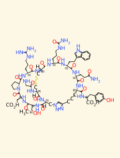 C[C@@H](O)[C@@H]1NC(=O)[C@@H]2Cn3cc(nn3)CCC[C@H](C(=O)N[C@@H](Cc3ccc(O)cc3)C(=O)O)NC(=O)[C@H](CCC(N)=O)NC(=O)[C@H](CCc3c[nH]c4ccccc34)NC(=O)[C@H](CCCNC(N)=O)NC(=O)[C@H](CSSC[C@H](NC(=O)CN)C(=O)N2)NC(=O)[C@H](CCCNC(=N)N)NC(=O)C2CCCN2C(=O)[C@H](CC(=O)O)NC1=O